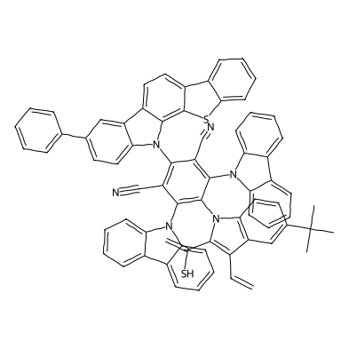 C=Cc1c(C(=C)S)n(-c2c(-n3c4ccccc4c4ccccc43)c(C#N)c(-n3c4ccc(-c5ccccc5)cc4c4ccc5c6ccccc6sc5c43)c(C#N)c2-n2c3ccccc3c3ccccc32)c2ccc(C(C)(C)C)cc12